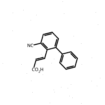 N#Cc1cccc(-c2ccccc2)c1C=CC(=O)O